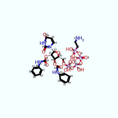 NCCP(=O)(O)OP(=O)(O)OP(=O)(O)OP(=O)(O)OC[C@H]1O[C@@H](n2ccc(=O)[nH]c2=O)[C@@H](OC(=O)Nc2ccccc2)C1OC(=O)Nc1ccccc1